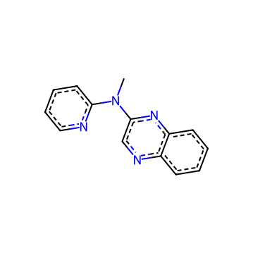 CN(c1ccccn1)c1cnc2ccccc2n1